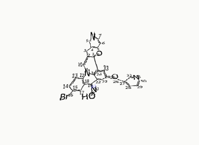 O=c1c(Cc2cccnc2)cn2c3ccc(Br)cc3/c(=N\O)c3cc(OCc4cccnc4)cc1c32